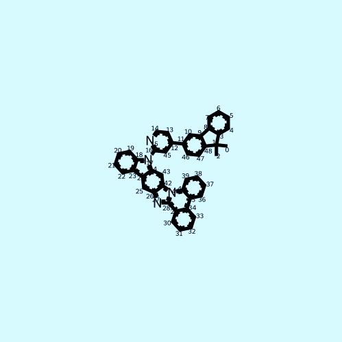 CC1(C)c2ccccc2-c2cc(-c3ccnc(-n4c5ccccc5c5cc6nc7c8ccccc8c8ccccc8n7c6cc54)c3)ccc21